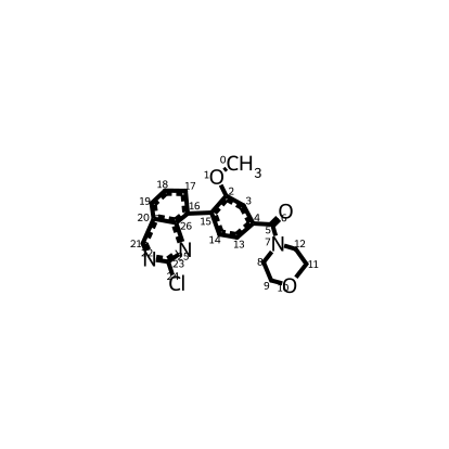 COc1cc(C(=O)N2CCOCC2)ccc1-c1cccc2cnc(Cl)nc12